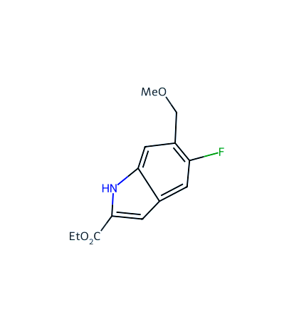 CCOC(=O)c1cc2cc(F)c(COC)cc2[nH]1